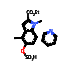 CCOC(=O)c1cc2c(C)c(OS(=O)(=O)O)ccc2n1C.c1ccncc1